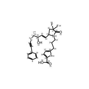 C[C@@H](CC#Cc1ccccc1)[C@H](O)C=CC1CC(F)(F)C(=O)N1CCCc1ccc(C(=O)O)s1